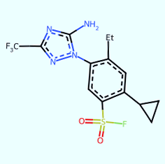 CCc1cc(C2CC2)c(S(=O)(=O)F)cc1-n1nc(C(F)(F)F)nc1N